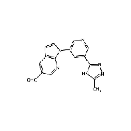 Cc1nnc(-c2cncc(-n3ccc4cc(C=O)cnc43)c2)[nH]1